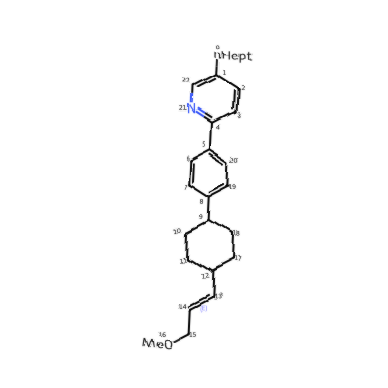 CCCCCCCc1ccc(-c2ccc(C3CCC(/C=C/COC)CC3)cc2)nc1